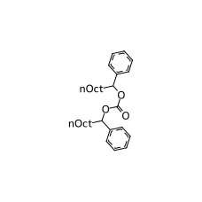 CCCCCCCCC(OC(=O)OC(CCCCCCCC)c1ccccc1)c1ccccc1